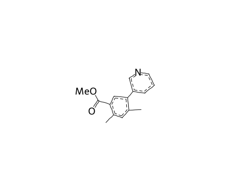 COC(=O)c1cc(-c2cccnc2)c(C)cc1C